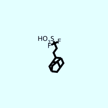 O=S(=O)(O)C(F)(F)CCC1C2CC3CC(C2)CC1C3